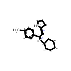 Cc1ccc(C(/C=C2/CCCN2)=N/C2CCCCC2)cc1